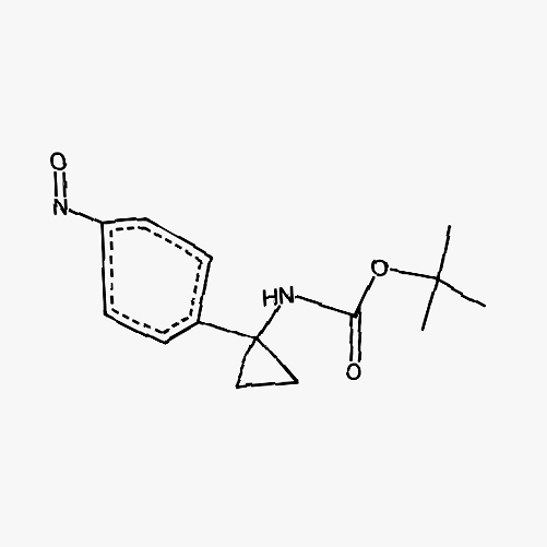 CC(C)(C)OC(=O)NC1(c2ccc(N=O)cc2)CC1